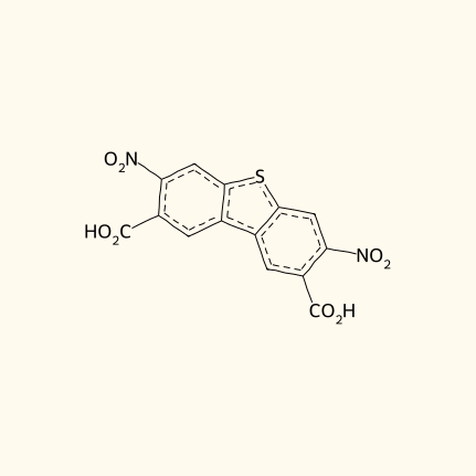 O=C(O)c1cc2c(cc1[N+](=O)[O-])sc1cc([N+](=O)[O-])c(C(=O)O)cc12